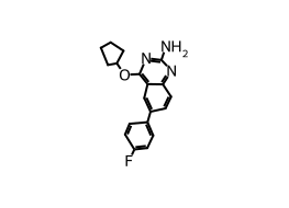 Nc1nc(OC2CCCC2)c2cc(-c3ccc(F)cc3)ccc2n1